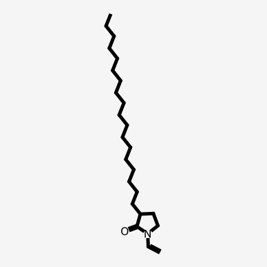 C=CN1CCC(CCCCCCCCCCCCCCCCCC)C1=O